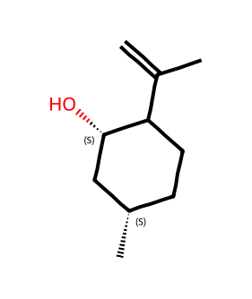 C=C(C)C1CC[C@H](C)C[C@@H]1O